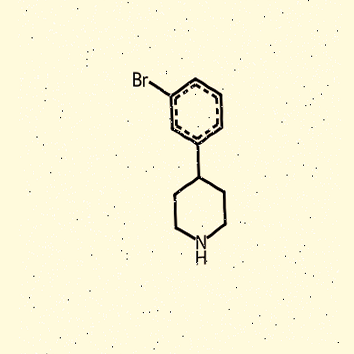 Brc1cccc(C2CCNCC2)c1